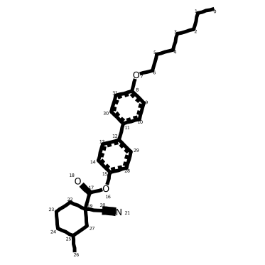 CCCCCCCOc1ccc(-c2ccc(OC(=O)C3(C#N)CCCC(C)C3)cc2)cc1